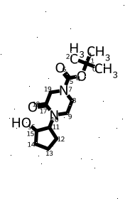 CC(C)(C)OC(=O)N1CCN(C2CCCC2O)C(=O)C1